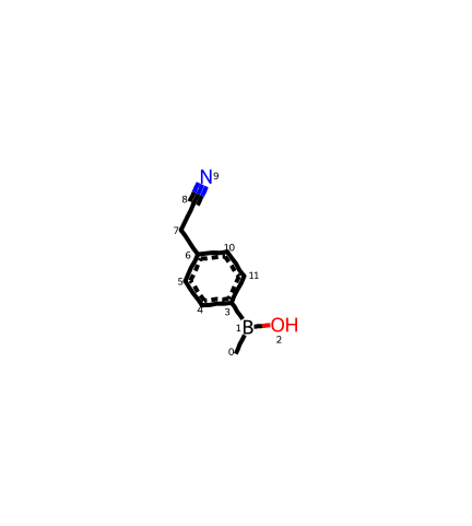 CB(O)c1ccc(CC#N)cc1